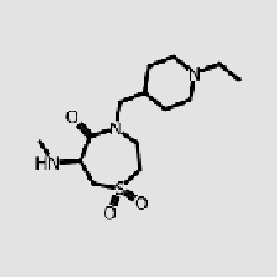 CCN1CCC(CN2CCS(=O)(=O)CC(NC)C2=O)CC1